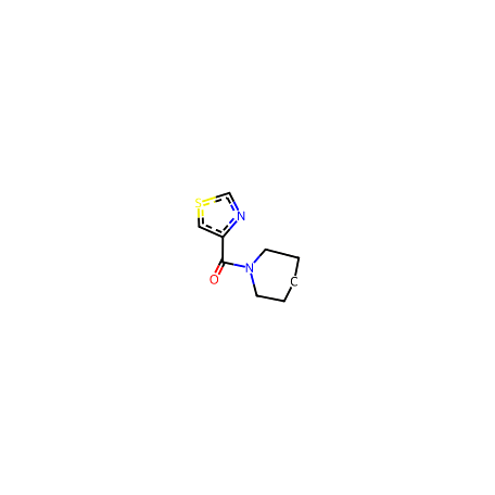 O=C(c1cscn1)N1CCCCC1